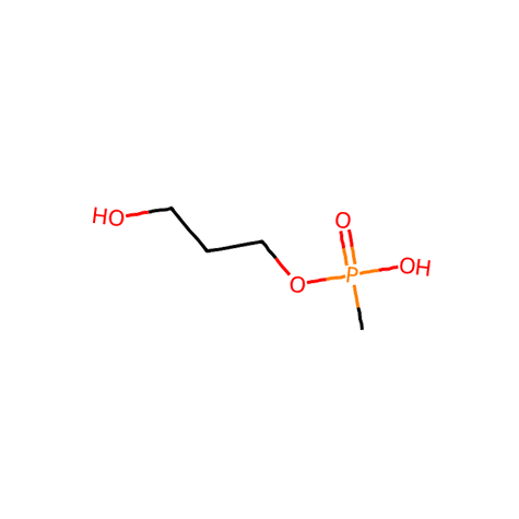 CP(=O)(O)OCCCO